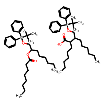 CCCCCCC(CO[Si](c1ccccc1)(c1ccccc1)C(C)(C)C)C(CCCCCC)C(=O)O.CCCCCCCC(=O)OC(CCCCCC)CO[Si](c1ccccc1)(c1ccccc1)C(C)(C)C